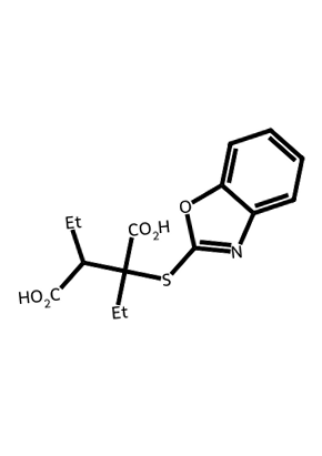 CCC(C(=O)O)C(CC)(Sc1nc2ccccc2o1)C(=O)O